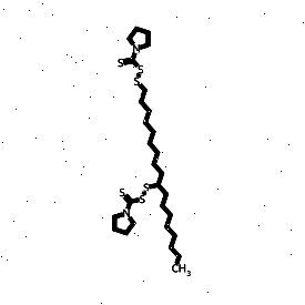 CCCCCCCCC(CCCCCCCCCSSC(=S)N1CCCC1)SSC(=S)N1CCCC1